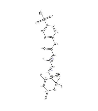 CCS(=O)(=O)c1ccc(OC(=O)/C=C(C)/C=C/C2(O)C(C)=CC(=O)CC2(C)C)cc1